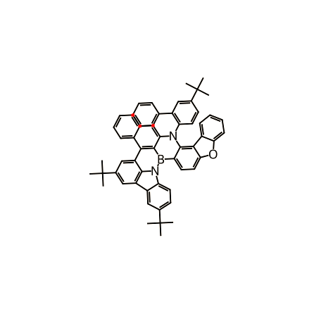 CC(C)(C)c1ccc(N2c3cc4ccccc4c4c3B(c3ccc5oc6ccccc6c5c32)n2c3ccc(C(C)(C)C)cc3c3cc(C(C)(C)C)cc-4c32)c(-c2ccccc2)c1